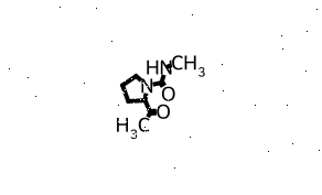 CNC(=O)N1CCCC1C(C)=O